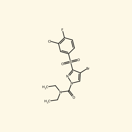 CCN(CC)C(=O)n1cc(Br)c(S(=O)(=O)c2ccc(F)c(Cl)c2)n1